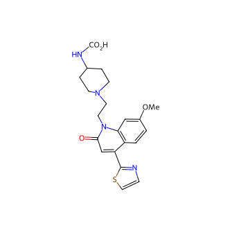 COc1ccc2c(-c3nccs3)cc(=O)n(CCN3CCC(NC(=O)O)CC3)c2c1